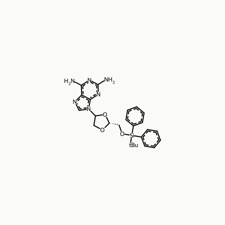 CC(C)(C)[Si](OC[C@@H]1OCC(n2cnc3c(N)nc(N)nc32)O1)(c1ccccc1)c1ccccc1